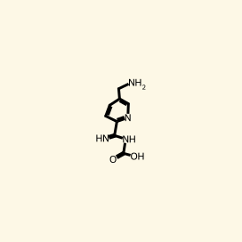 N=C(NC(=O)O)c1ccc(CN)cn1